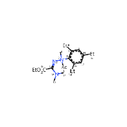 CCOC(=O)C(=N[N+](C)(C(C)=O)c1c(CC)cc(CC)cc1CC)N(C)C